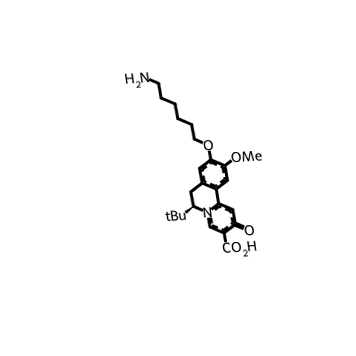 COc1cc2c(cc1OCCCCCCN)C[C@H](C(C)(C)C)n1cc(C(=O)O)c(=O)cc1-2